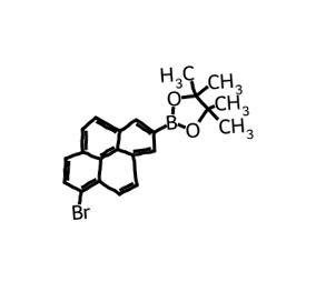 CC1(C)OB(c2cc3ccc4ccc(Br)c5ccc(c2)c3c45)OC1(C)C